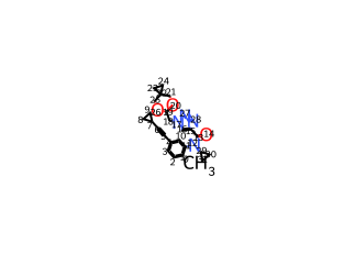 Cc1ccc(C#CC2CC2)cc1N(C(=O)c1cn(CC2OCC3(CC3)CO2)nn1)C1CC1